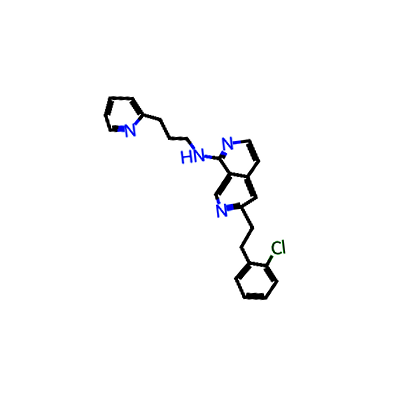 Clc1ccccc1CCc1cc2ccnc(NCCCc3ccccn3)c2cn1